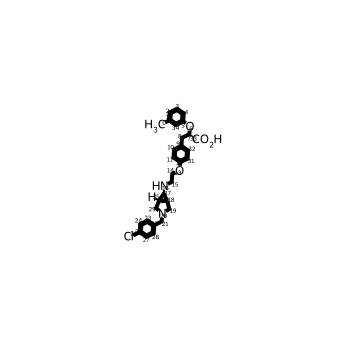 Cc1cccc(O[C@@H](Cc2ccc(OCCN[C@H]3C4CN(Cc5ccc(Cl)cc5)C[C@@H]43)cc2)C(=O)O)c1